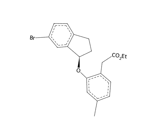 CCOC(=O)Cc1ccc(C)cc1O[C@@H]1CCc2ccc(Br)cc21